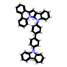 c1ccc2c(c1)c1ccccc1n1c2cc2c3ccccc3n(-c3ccc(-c4ccc(-n5c6ccccc6c6ccccc65)cc4)cc3)c21